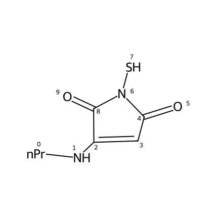 CCCNC1=CC(=O)N(S)C1=O